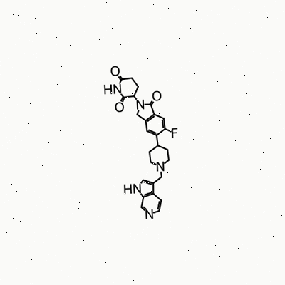 O=C1CCC(N2Cc3cc(C4CCN(Cc5c[nH]c6cnccc56)CC4)c(F)cc3C2=O)C(=O)N1